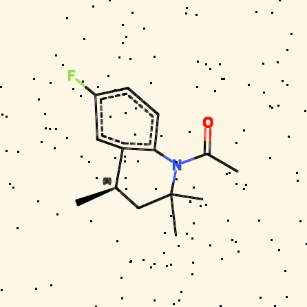 CC(=O)N1c2ccc(F)cc2[C@H](C)CC1(C)C